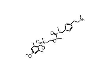 COc1cc(C)c(S(=O)(=O)N(C)CCO[C@H](C)C(=O)N(C)Cc2ccc(CCN(C)C)cc2)c(C)c1